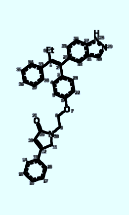 CC/C(=C(/c1ccc(OCCN2CC(c3ccccc3)=CC2=O)cc1)c1ccc2[nH]ncc2c1)c1ccccc1